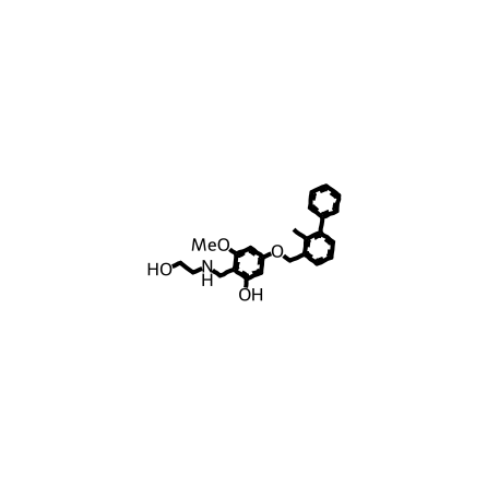 COc1cc(OCc2cccc(-c3ccccc3)c2C)cc(O)c1CNCCO